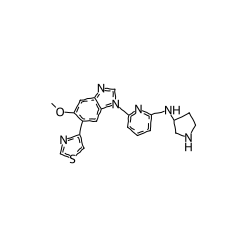 COc1cc2ncn(-c3cccc(NC4CCNC4)n3)c2cc1-c1cscn1